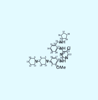 COc1cc(N2CCC(N3CCCCC3)CC2)ccc1Nc1ncc(Cl)c(Nc2ccccc2CNC2CCCC2)n1